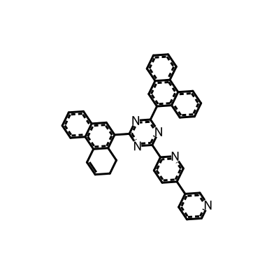 C1=Cc2c(c(-c3nc(-c4ccc(-c5cccnc5)cn4)nc(-c4cc5ccccc5c5ccccc45)n3)cc3ccccc23)CC1